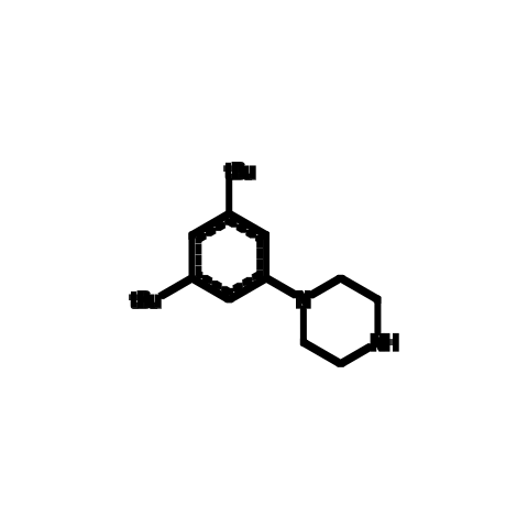 CC(C)(C)c1cc(N2CCNCC2)cc(C(C)(C)C)c1